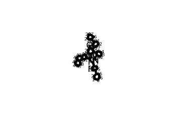 c1ccc(-c2ccc(C3N=C(c4ccccc4-c4cccc5oc6c(-c7ccccc7)cccc6c45)N=C(c4ccc5ccc6ccccc6c5c4)N3)cc2)cc1